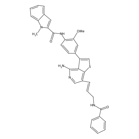 COc1cc(-c2csc3c(C=CCNC(=O)c4ccccc4)cnc(N)c23)ccc1NC(=O)c1cc2ccccc2n1C